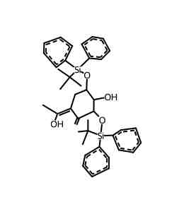 C=C1C(=C(C)O)CC(O[Si](c2ccccc2)(c2ccccc2)C(C)(C)C)C(O)C1O[Si](c1ccccc1)(c1ccccc1)C(C)(C)C